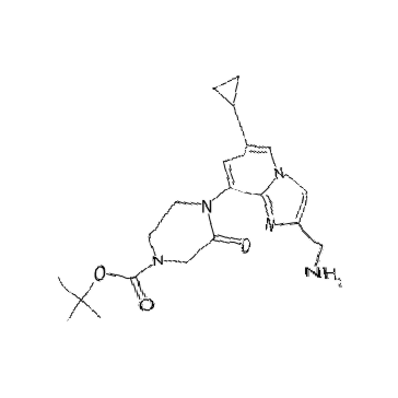 CC(C)(C)OC(=O)N1CCN(c2cc(C3CC3)cn3cc(CN)nc23)C(=O)C1